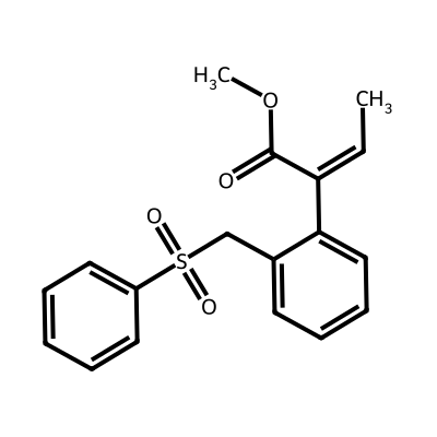 CC=C(C(=O)OC)c1ccccc1CS(=O)(=O)c1ccccc1